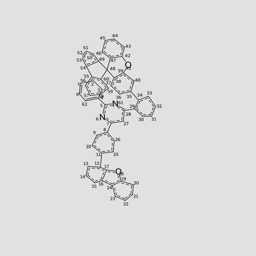 C1=CCCC(c2nc(-c3ccc(-c4cccc5c4oc4ccccc45)cc3)cc(-c3ccccc3-c3ccc4c(c3)Oc3ccccc3C43c4ccccc4-c4ccccc43)n2)=C1